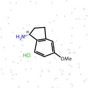 COc1ccc2c(c1)CC[C@H]2N.Cl